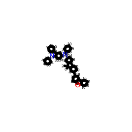 CC1(C)c2cc(-c3ccc4oc5ccccc5c4c3)ccc2-c2ccc(N(c3ccccc3)c3ccc4c(c3)c3ccccc3n4-c3ccccc3)cc21